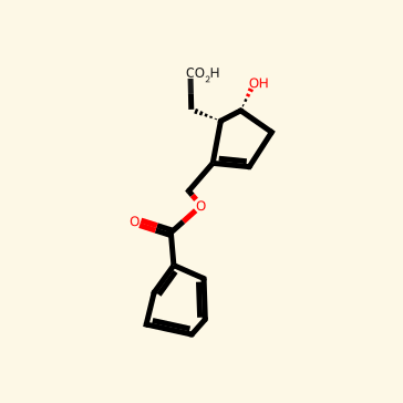 O=C(O)C[C@H]1C(COC(=O)c2ccccc2)=CC[C@H]1O